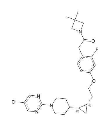 CC1(C)CN(C(=O)Cc2ccc(OCC[C@@H]3C[C@@H]3C3CCN(c4ncc(Cl)cn4)CC3)cc2F)C1